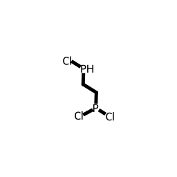 ClPCCP(Cl)Cl